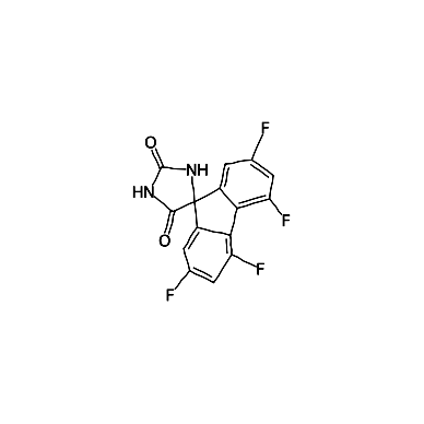 O=C1NC(=O)C2(N1)c1cc(F)cc(F)c1-c1c(F)cc(F)cc12